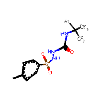 CCC(NC(=O)NNS(=O)(=O)c1ccc(C)cc1)(C(F)(F)F)C(F)(F)F